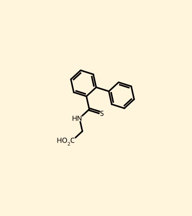 O=C(O)CNC(=S)c1ccccc1-c1ccccc1